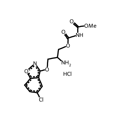 COC(=O)NC(=O)OCC(N)COc1noc2ccc(Cl)cc12.Cl